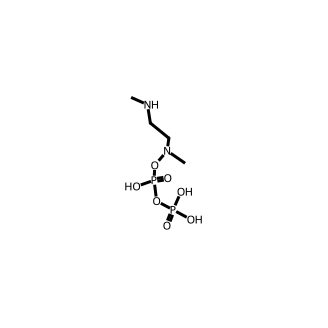 CNCCN(C)OP(=O)(O)OP(=O)(O)O